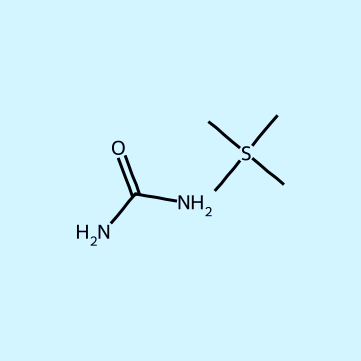 CS(C)(C)C.NC(N)=O